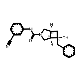 N#Cc1cccc(NC(=O)N2C[C@H]3C[C@](O)(Cc4ccccc4)[C@H]3C2)c1